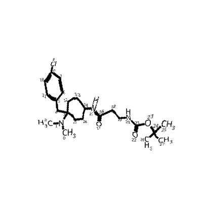 CN(C)C1(Cc2ccc(Cl)cc2)CCC(NC(=O)CCNC(=O)OC(C)(C)C)CC1